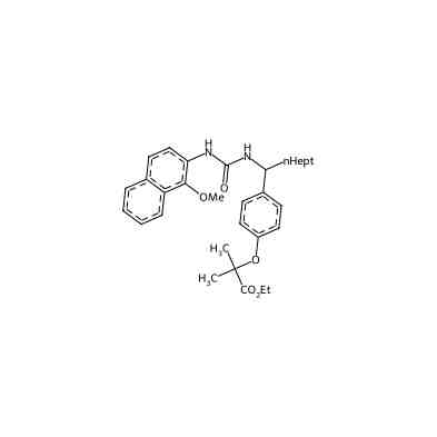 CCCCCCCC(NC(=O)Nc1ccc2ccccc2c1OC)c1ccc(OC(C)(C)C(=O)OCC)cc1